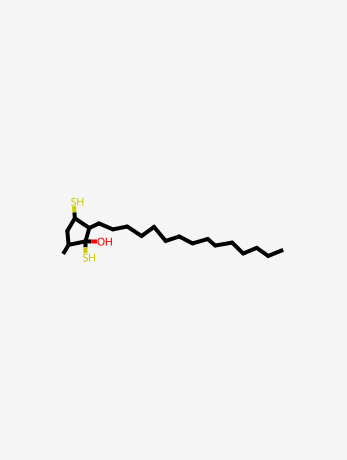 CCCCCCCCCCCCCCCC1C(S)CC(C)C1(O)S